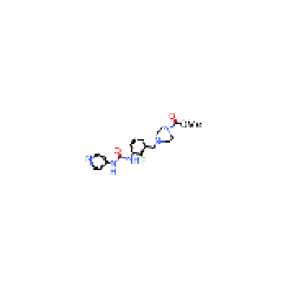 COC(=O)N1CCN(Cc2cccc(NC(=O)Nc3ccncc3)c2F)CC1